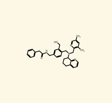 Cc1cnc(CN(Cc2ccc(CNC(=O)Cc3ccccc3)cc2CO)C2CCCc3cccnc32)c(C)c1